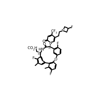 Cc1cc2cc(c1F)[C@@H](CC(=O)O)NC(=O)[C@@H](n1cc(CCN3CC(F)C3)c(C(F)(F)F)cc1=O)c1cc(ccc1F)Oc1ccc(F)c(C)c1-2